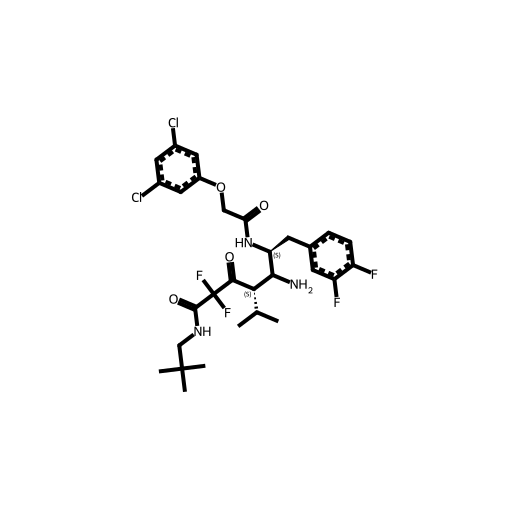 CC(C)[C@H](C(=O)C(F)(F)C(=O)NCC(C)(C)C)C(N)[C@H](Cc1ccc(F)c(F)c1)NC(=O)COc1cc(Cl)cc(Cl)c1